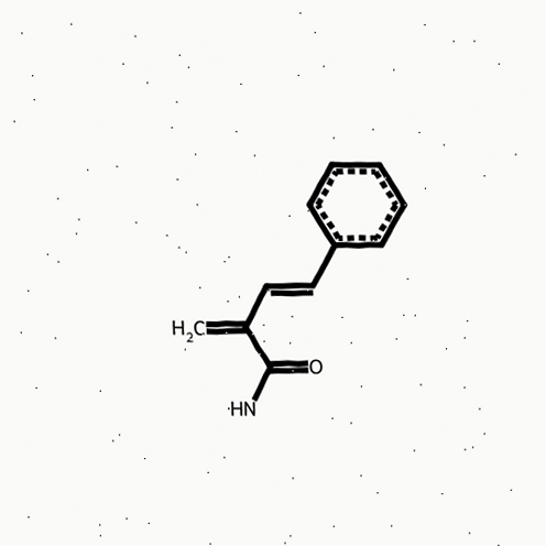 C=C(C=Cc1ccccc1)C([NH])=O